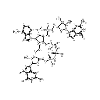 COC[C@H]1[C@@H](O)[C@H](n2c[n+](C)c3c(=O)[nH]c(N)nc32)O[C@@H]1COP(=O)(O)OP(=O)(O)OP(=O)(O)OC[C@H]1O[C@@H](n2cnc3c(N)ncnc32)[C@H](OC)[C@@H]1CP(=O)([O-])OC[C@H]1O[C@@H](n2cnc3c(=O)[nH]c(N)nc32)[C@H](O)[C@@H]1O